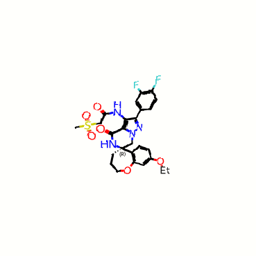 CCOc1ccc2c(c1)OCCC[C@]21Cn2nc(-c3ccc(F)c(F)c3)c(NC(=O)CS(C)(=O)=O)c2C(=O)N1